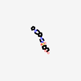 O=c1ccc2cc(S(=O)(=O)N3CCN(c4ccc5c(c4)CCN(C4CCCC4)CC5)CC3)ccc2o1